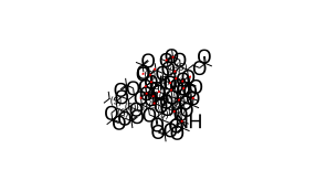 CC(=O)NC1C(OC(C)=O)C[C@]2(O[C@H]1[C@H](OC(C)=O)[C@@H](COC(C)=O)OC(C)=O)O[C@@H]1C(OC2=O)[C@H](O[C@@H]2C(COC(C)=O)O[C@@H](C(C)C)C(OC(C)=O)[C@H]2OC(C)=O)OC(COC(C)=O)[C@@H]1O[C@@H]1OC(COC(C)=O)[C@H](OC(C)=O)[C@H](O[C@@H]2OC(COC(C)=O)[C@H](OC(C)=O)[C@H](OC(C)=O)C2O[C@@H]2OC(C)[C@@H](OC(C)=O)C(OC(C)=O)[C@@H]2OC(C)=O)C1NC(C)=O